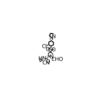 N#CC1(NC(=O)[C@@H]2C[C@@H](S(=O)(=O)c3ccc(-n4cccn4)cc3Cl)CN2C=O)CC1